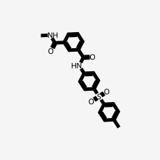 CNC(=O)c1cccc(C(=O)Nc2ccc(S(=O)(=O)c3ccc(C)cc3)cc2)c1